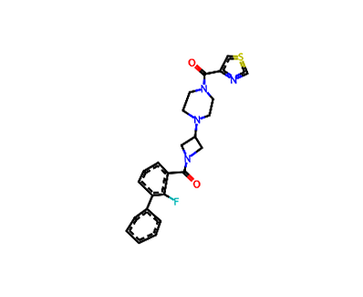 O=C(c1cscn1)N1CCN(C2CN(C(=O)c3cccc(-c4ccccc4)c3F)C2)CC1